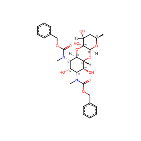 CCC1(O)C[C@@H](C)O[C@H]2O[C@@H]3[C@@H](O)[C@H](N(C)C(=O)OCc4ccccc4)[C@H](O)[C@H](N(C)C(=O)OCc4ccccc4)[C@H]3O[C@]21O